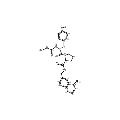 COc1ccc(C[C@@H](NC(=O)OC(C)(C)C)C(=O)N2CCC[C@H]2C(=O)NCc2ccc3ccnc(N)c3c2)cc1